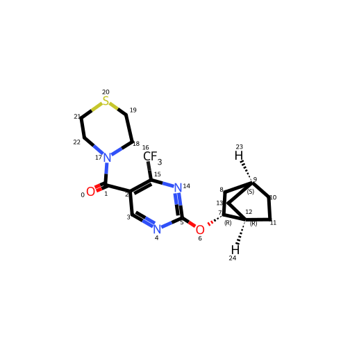 O=C(c1cnc(O[C@@H]2C[C@H]3CC[C@@H]2C3)nc1C(F)(F)F)N1CCSCC1